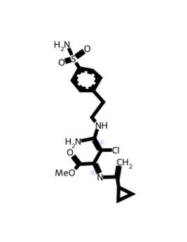 C=C(/N=C(C(=O)OC)\C(Cl)=C(/N)NCCc1ccc(S(N)(=O)=O)cc1)C1CC1